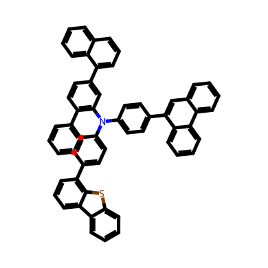 c1ccc(-c2ccc(-c3cccc4ccccc34)cc2N(c2ccc(-c3cc4ccccc4c4ccccc34)cc2)c2ccc(-c3cccc4c3sc3ccccc34)cc2)cc1